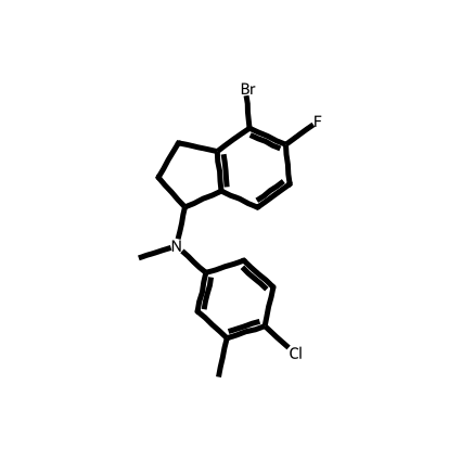 Cc1cc(N(C)C2CCc3c2ccc(F)c3Br)ccc1Cl